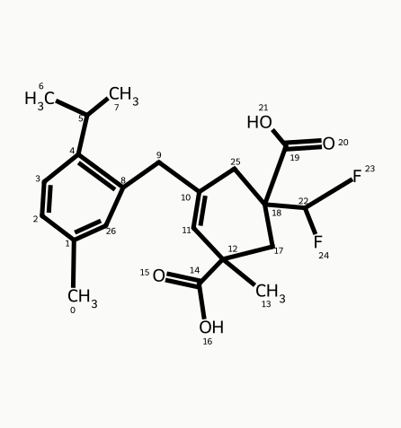 Cc1ccc(C(C)C)c(CC2=CC(C)(C(=O)O)CC(C(=O)O)(C(F)F)C2)c1